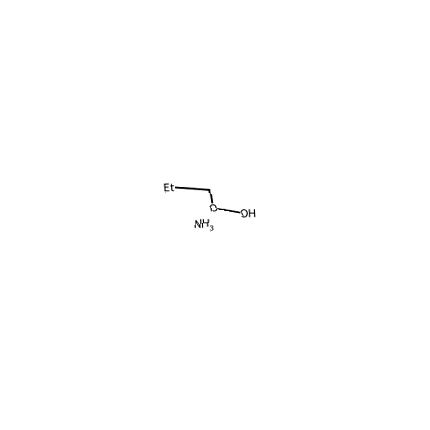 CCCOO.N